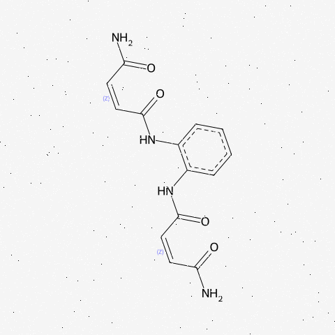 NC(=O)/C=C\C(=O)Nc1ccccc1NC(=O)/C=C\C(N)=O